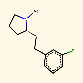 CC(=O)N1CCC[C@H]1CCc1cccc(F)c1